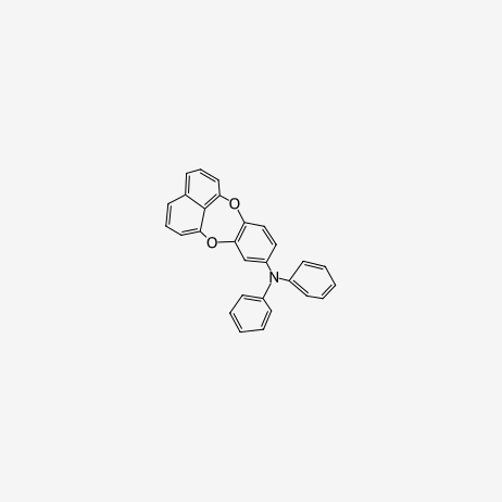 c1ccc(N(c2ccccc2)c2ccc3c(c2)Oc2cccc4cccc(c24)O3)cc1